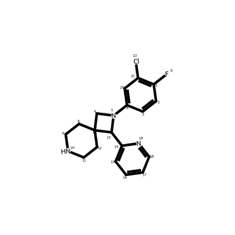 Fc1ccc(N2CC3(CCNCC3)C2c2ccccn2)cc1Cl